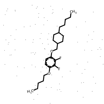 CCCCCOc1ccc(OCC2CCC(CCCCC)CC2)c(F)c1F